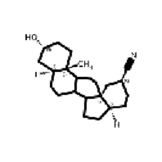 C[C@]12CC[C@@H](O)C[C@@H]1CCC1C3CC[C@@H]4CC[C@H](C#N)C[C@]34CCC12